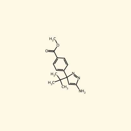 COC(=O)c1ccc(C2(C(C)(C)C)C=C(N)N=N2)cc1